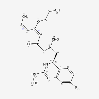 C=C(/C=C(\C=C/C)OCCO)CN(C=O)C[C@H](NC(=O)NC=O)c1ccc(F)cc1